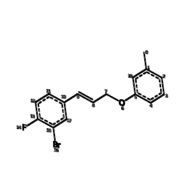 Cc1cccc(OCC=Cc2ccc(F)c(Br)c2)c1